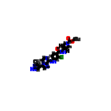 CC(C)(C)OC(=O)N1C[C@@H]2C(NC(=O)c3ccc(Nc4nccn5c(-c6c[nH]nc6C(F)(F)F)cnc45)cc3Cl)[C@@H]2C1